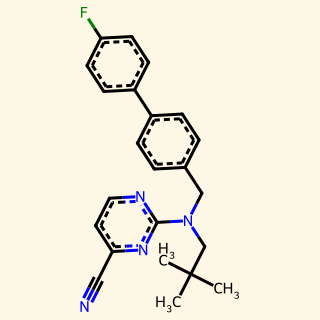 CC(C)(C)CN(Cc1ccc(-c2ccc(F)cc2)cc1)c1nccc(C#N)n1